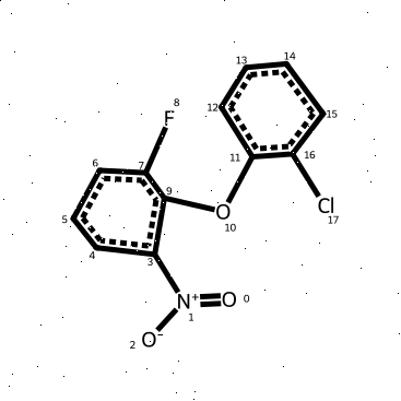 O=[N+]([O-])c1cccc(F)c1Oc1ccccc1Cl